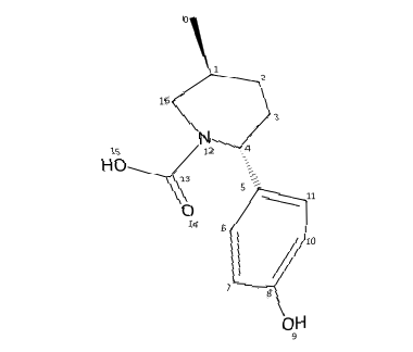 C[C@H]1CC[C@H](c2ccc(O)cc2)N(C(=O)O)C1